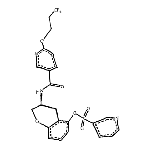 O=C(N[C@@H]1COc2cccc(OS(=O)(=O)c3cccnc3)c2C1)c1ccc(OCCC(F)(F)F)nc1